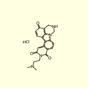 CN(C)CCN1C(=O)C=c2c(ccc3c2c2c4n3CNCC=4C(=O)C=C2)C1=O.Cl